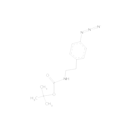 CC(C)(C)OC(=O)NCCc1ccc(N=[N+]=[N-])cc1